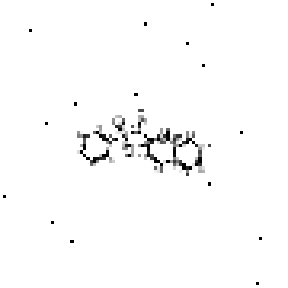 O=S(=O)(c1ccccc1)C(F)c1ccc2ccccc2n1